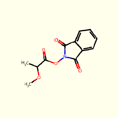 COC(C)C(=O)ON1C(=O)c2ccccc2C1=O